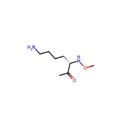 CON[C@@H](CCCCN)C(C)=O